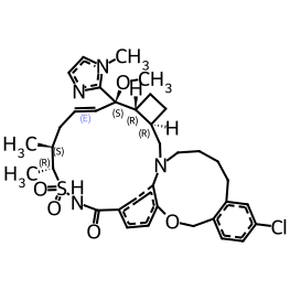 CO[C@]1(c2nccn2C)/C=C/C[C@H](C)[C@@H](C)S(=O)(=O)NC(=O)c2ccc3c(c2)N(CCCCc2cc(Cl)ccc2CO3)C[C@@H]2CC[C@H]21